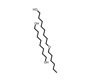 CCCCCCOCCCCCCCCO.OCCCCCCCCO